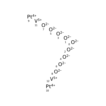 [O-2].[O-2].[O-2].[O-2].[O-2].[O-2].[O-2].[O-2].[O-2].[Pt+4].[Pt+4].[V+5].[V+5]